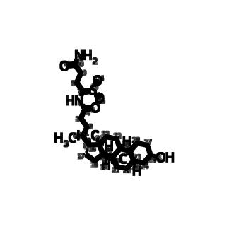 C[C@H](CCC(=O)NC(CCC(N)=O)=S(=O)=O)[C@H]1CC[C@H]2[C@@H]3CC[C@@H]4C[C@H](O)CC[C@]4(C)[C@H]3CC[C@]12C